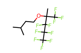 CC(C)CCOC(C)(C(F)(F)F)C(F)(F)C(F)(F)C(F)(F)F